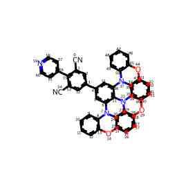 N#Cc1cc(-c2cc(N3c4ccccc4Oc4ccccc43)c(N3c4ccccc4Oc4ccccc43)c(N3c4ccccc4Oc4ccccc43)c2)cc(C#N)c1-c1ccncc1